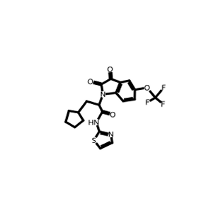 O=C1C(=O)N(C(CC2CCCC2)C(=O)Nc2nccs2)c2ccc(OC(F)(F)F)cc21